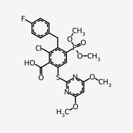 COc1cc(OC)nc(Sc2cc(P(=O)(OC)OC)c(Cc3ccc(F)cc3)c(Cl)c2C(=O)O)n1